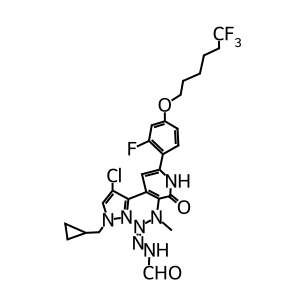 CN(/N=N\NC=O)c1c(-c2nn(CC3CC3)cc2Cl)cc(-c2ccc(OCCCCCC(F)(F)F)cc2F)[nH]c1=O